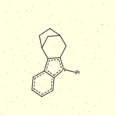 CC(C)n1c2c(c3ccccc31)C1CCC(C2)C1